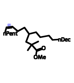 CCCCC/C=C\CCC(CCCCCCCCCCCCCC)CC(C)(C)C(=O)OC